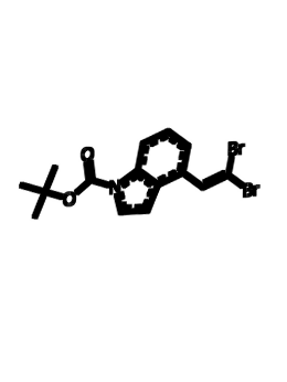 CC(C)(C)OC(=O)n1ccc2c(C=C(Br)Br)cccc21